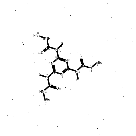 CCCCNC(=O)N(C)c1nc(N(C)C(=O)NCCCC)nc(N(C)C(=O)NCCCC)n1